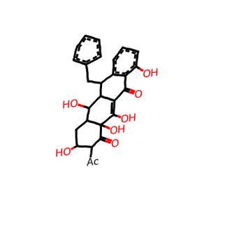 CC(=O)C1C(=O)C2(O)C(O)=C3C(=O)c4c(O)cccc4C(Cc4ccccc4)C3C(O)C2CC1O